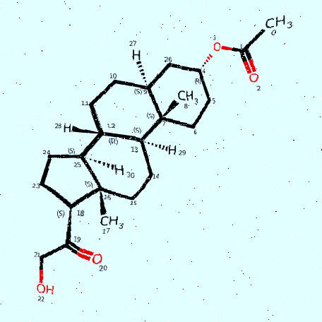 CC(=O)O[C@@H]1CC[C@@]2(C)[C@@H](CC[C@@H]3[C@@H]2CC[C@]2(C)[C@@H](C(=O)CO)CC[C@@H]32)C1